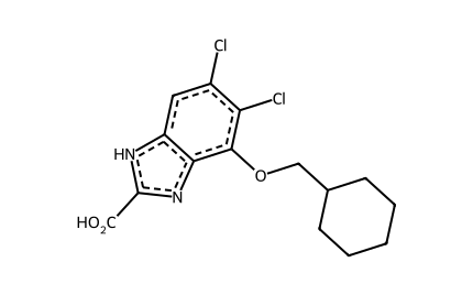 O=C(O)c1nc2c(OCC3CCCCC3)c(Cl)c(Cl)cc2[nH]1